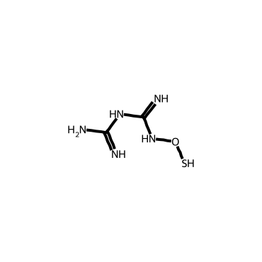 N=C(N)NC(=N)NOS